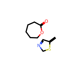 C=C1C=NCS1.O=C1CCCCCO1